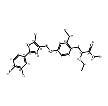 CCO[C@@H](Cc1ccc(OCc2nc(-c3ccc(F)c(C)c3)oc2C)cc1CC)C(=O)OC